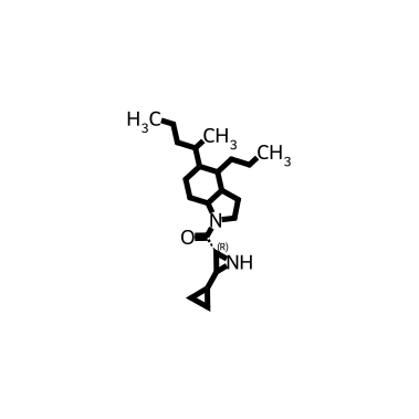 CCCC(C)C1CCC2C(CCN2C(=O)[C@@H]2NC2C2CC2)C1CCC